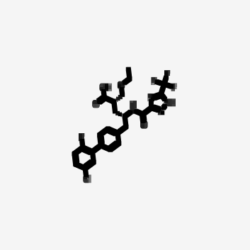 CCOC[C@H](C[C@@H](Cc1ccc(-c2cc(Cl)ccc2F)cc1)NC(=O)c1n[nH]c(C(F)(F)F)n1)C(=O)O